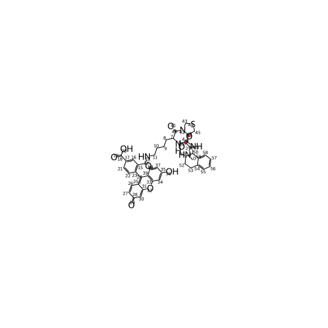 CNC(C)C(=O)NC(CCCCNC(=O)c1cc(C(=O)O)ccc1-c1c2ccc(=O)cc-2oc2cc(O)ccc12)C(=O)N1CSCC1C(=O)NC1CCCc2ccccc21